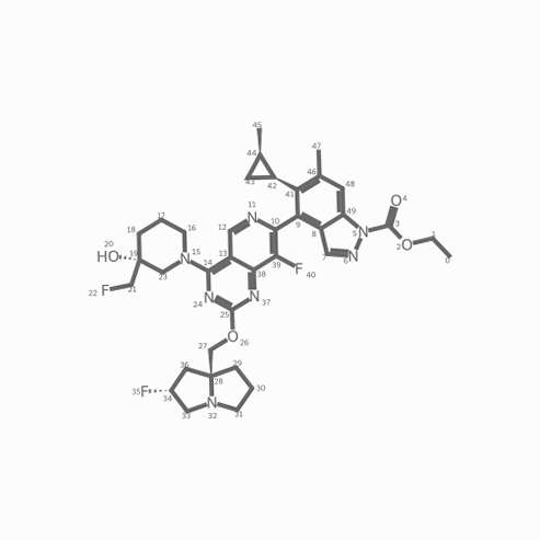 CCOC(=O)n1ncc2c(-c3ncc4c(N5CCC[C@](O)(CF)C5)nc(OC[C@@]56CCCN5C[C@H](F)C6)nc4c3F)c([C@H]3C[C@H]3C)c(C)cc21